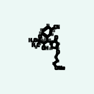 COCCCOC1=CC(=O)N([C@H]2c3cc(C#N)ccc3OC(C)(C)[C@@H]2O)C1